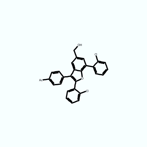 CC(=O)c1ccc(-c2c(-c3ccccc3Cl)oc3c(-c4ccccc4Cl)cc(CO)cc23)cc1